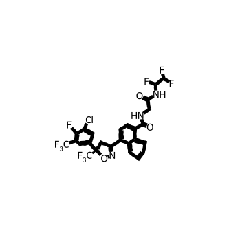 O=C(CNC(=O)c1ccc(C2=NO[C@@](c3cc(Cl)c(F)c(C(F)(F)F)c3)(C(F)(F)F)C2)c2ccccc12)NC(F)C(F)F